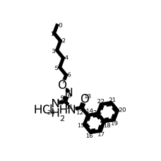 CCCCCCCON=C(N)NC(=O)c1cccc2ccccc12.Cl